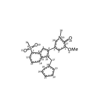 COc1cc(-c2cc3c(S(C)(=O)=O)cccc3n2Cc2ccccc2)cn(C)c1=O